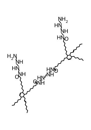 CCCCC/C=C/CC1C(CCCCCC)C=CC(CCCCCCCC(=O)NCCNCCNCCNC(=O)CCCCCCCC2C(CCCCCCCC(=O)NCCNCCNCCN)C=CC(CCCCCC)C2C/C=C/CCCCC)C1CCCCCCCC(=O)NCCNCCNCCN